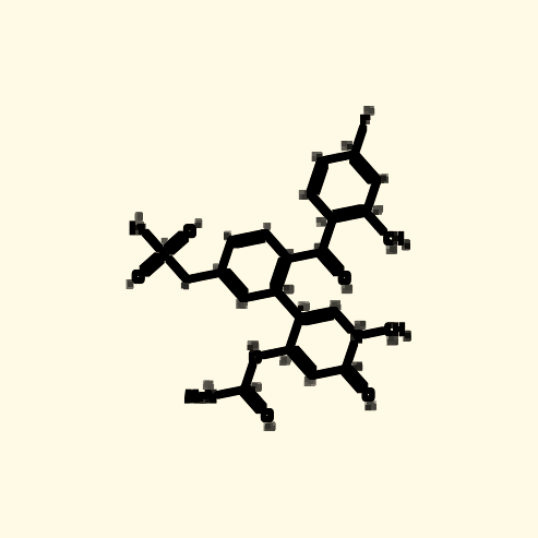 CCS(=O)(=O)Cc1ccc(C(=O)c2ccc(F)cc2C)c(-c2cn(C)c(=O)cc2OC(=O)NC)c1